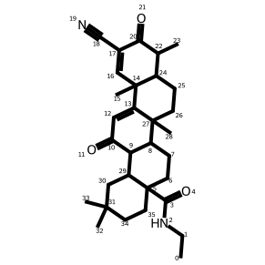 CCNC(=O)C12CCC3C(C(=O)C=C4C5(C)C=C(C#N)C(=O)C(C)C5CCC43C)C1CC(C)(C)CC2